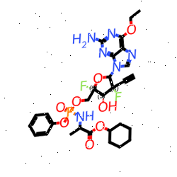 C#C[C@]1(F)C(n2cnc3c(OCC)nc(N)nc32)O[C@](F)(COP(=O)(NC(C)C(=O)OC2CCCCC2)Oc2ccccc2)[C@H]1O